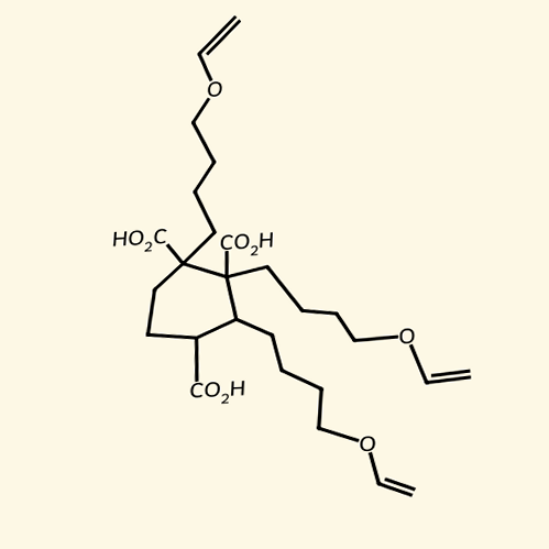 C=COCCCCC1C(C(=O)O)CCC(CCCCOC=C)(C(=O)O)C1(CCCCOC=C)C(=O)O